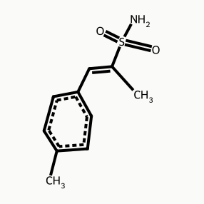 C/C(=C\c1ccc(C)cc1)S(N)(=O)=O